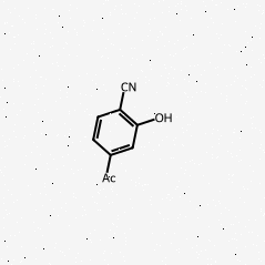 CC(=O)c1ccc(C#N)c(O)c1